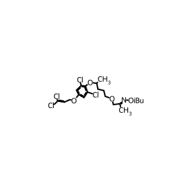 CC(COCCCC(C)Oc1c(Cl)cc(OCC=C(Cl)Cl)cc1Cl)=NOCC(C)C